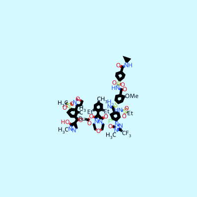 CCS(=O)(=O)Nc1cc(-n2nc(C(F)(F)F)n(C)c2=O)c(F)cc1C(N)=S.CCc1cc(C)cc(CC)c1-c1c(OC(=O)C(C)(C)C)n2n(c1=O)CCOCC2.COc1ccccc1C(=O)NS(=O)(=O)c1ccc(C(=O)NC2CC2)cc1.Cc1c(C(=O)c2cnn(C)c2O)ccc(S(C)(=O)=O)c1C1=NOCC1